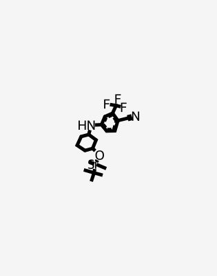 CC(C)(C)[Si](C)(C)OC1CCCC(Nc2ccc(C#N)c(C(F)(F)F)c2)C1